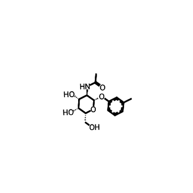 CC(=O)N[C@H]1[C@H](Oc2cccc(C)c2)O[C@H](CO)[C@H](O)[C@@H]1O